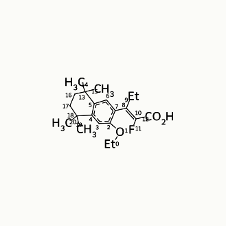 CCOc1cc2c(cc1C(CC)=C(F)C(=O)O)C(C)(C)CCC2(C)C